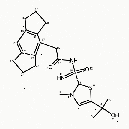 CN1C=C(C(C)(C)O)SC1S(=N)(=O)NC(=O)Cc1c2c(cc3c1CCC3)CCC2